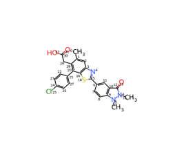 Cc1cc2nc(-c3ccc4c(c3)c(=O)n(C)n4C)sc2c(-c2ccc(Cl)cc2)c1CC(=O)O